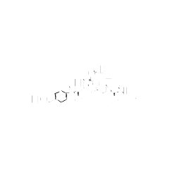 CC(C)(C)OC(=O)N[C@@H](CCCNC(N)=O)C(=O)Nc1ccc(CO)cc1